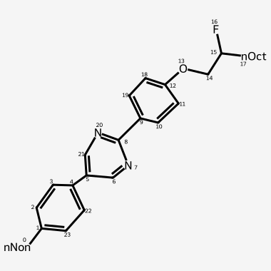 CCCCCCCCCc1ccc(-c2cnc(-c3ccc(OCC(F)CCCCCCCC)cc3)nc2)cc1